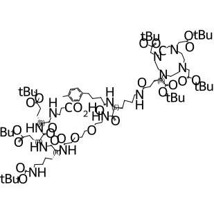 Cc1ccc(CCCC(=O)N[C@@H](CCCCNC(=O)CC[C@H](C(=O)OC(C)(C)C)N2CCN(CC(=O)OC(C)(C)C)CCN(CC(=O)OC(C)(C)C)CCN(CC(=O)OC(C)(C)C)CC2)C(=O)NCCOCCOCC(=O)N[C@H](CCCCNC(=O)OC(C)(C)C)C(=O)N[C@H](CCC(=O)OC(C)(C)C)C(=O)N[C@H](CCC(=O)OC(C)(C)C)C(=O)NCCC(=O)O)cc1